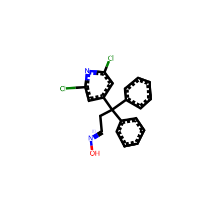 O/N=C/CC(c1ccccc1)(c1ccccc1)c1cc(Cl)nc(Cl)c1